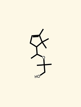 CC1=CCC(C(C)OC(C)(C)CO)C1(C)C